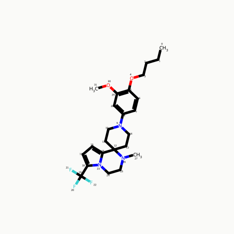 CCCCOc1ccc(N2CCC3(CC2)c2ccc(C(F)(F)F)n2CCN3C)cc1OC